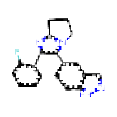 Fc1ccccc1-c1nc2n(c1-c1ccc3[nH]ncc3c1)CCC2